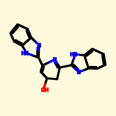 OC1C=C(c2nc3ccccc3[nH]2)N=C(c2nc3ccccc3[nH]2)C1